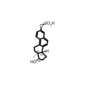 C[C@]12CCc3c(ccc4cc(OS(=O)(=O)O)ccc34)[C@@H]1CC[C@H]2O